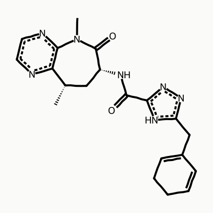 C[C@H]1C[C@@H](NC(=O)c2nnc(CC3=CCCC=C3)[nH]2)C(=O)N(C)c2nccnc21